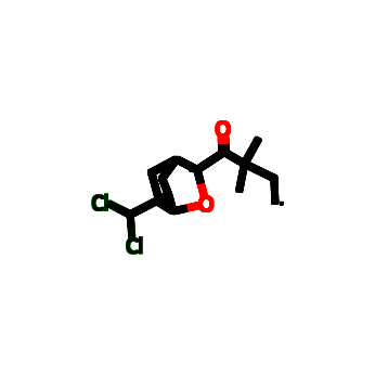 [CH2]CC(C)(C)C(=O)[C]1OC2CCC1CC2C(Cl)Cl